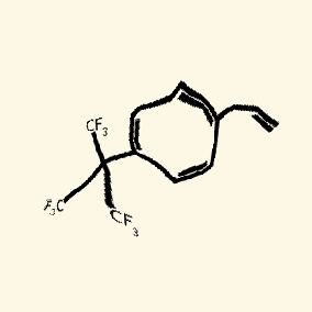 C=Cc1ccc(C(C(F)(F)F)(C(F)(F)F)C(F)(F)F)cc1